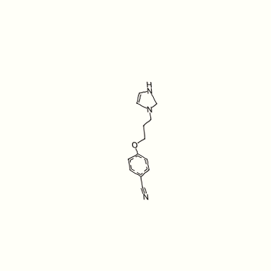 N#Cc1ccc(OCCCN2C=CNC2)cc1